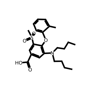 CCCCN(CCCC)c1cc(C(=O)O)cc(S(C)(=O)=O)c1Oc1ccccc1C